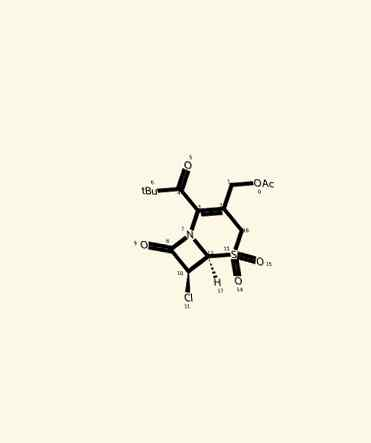 CC(=O)OCC1=C(C(=O)C(C)(C)C)N2C(=O)[C@H](Cl)[C@@H]2S(=O)(=O)C1